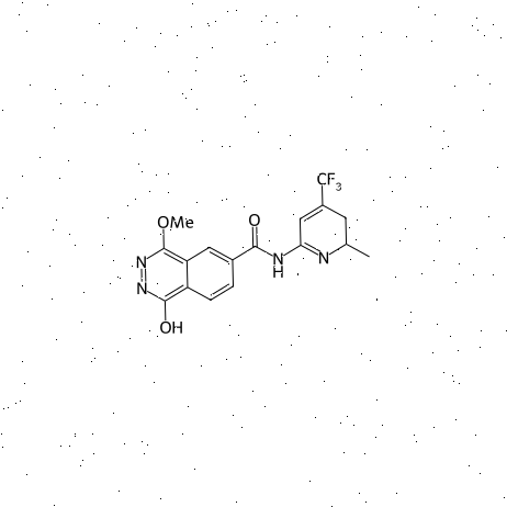 COc1nnc(O)c2ccc(C(=O)NC3=NC(C)CC(C(F)(F)F)=C3)cc12